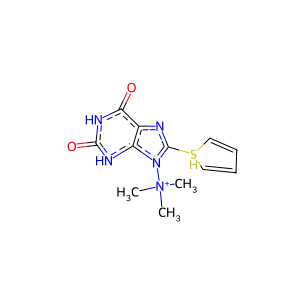 C[N+](C)(C)n1c([SH]2C=CC=C2)nc2c(=O)[nH]c(=O)[nH]c21